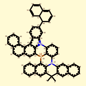 CC1(C)c2cc3ccccc3cc2N2c3cccc4c3[SH](c3c2c1cc1ccccc31)c1cc2ccc3ccccc3c2c2c3ccc(C5C=CC=C6C=CC=CC65)cc3n-4c12